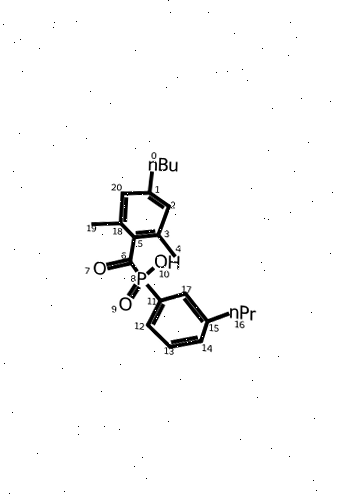 CCCCc1cc(C)c(C(=O)P(=O)(O)c2cccc(CCC)c2)c(C)c1